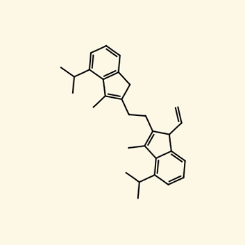 C=CC1C(CCC2=C(C)c3c(cccc3C(C)C)C2)=C(C)c2c(C(C)C)cccc21